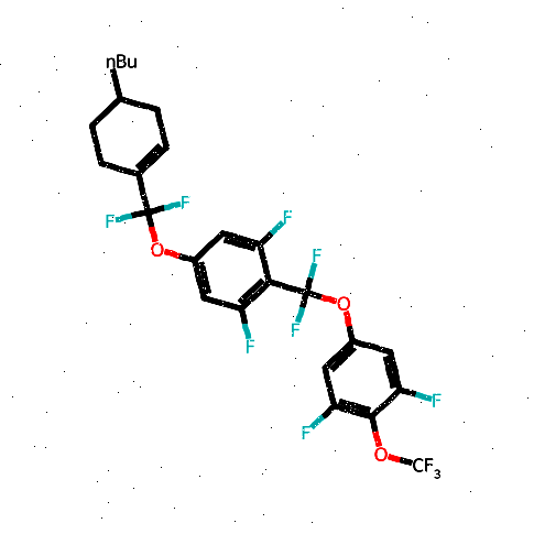 CCCCC1CC=C(C(F)(F)Oc2cc(F)c(C(F)(F)Oc3cc(F)c(OC(F)(F)F)c(F)c3)c(F)c2)CC1